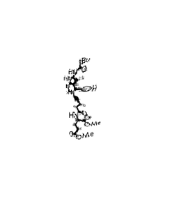 COC(=O)CC[C@@H](NC(=O)CCC#CN1C=Nc2[nH]c(NC(=O)C(C)(C)C)cc2C1O)C(=O)OC